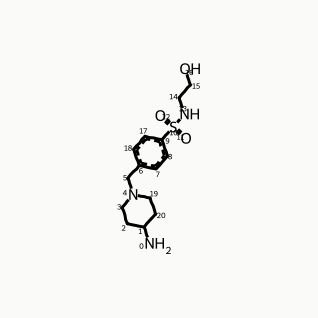 NC1CCN(Cc2ccc(S(=O)(=O)NCCO)cc2)CC1